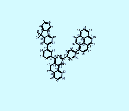 CC1(C)c2ccccc2-c2ccc(-c3cccc(-c4nc(-c5ncc(-c6ccc7ccc8cccc9ccc6c7c89)cn5)nc5c4CCc4ccccc4-5)c3)cc21